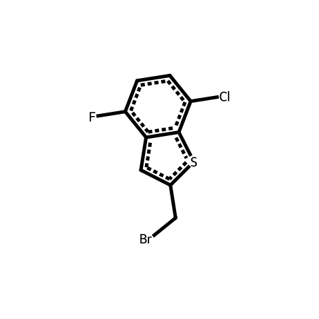 Fc1ccc(Cl)c2sc(CBr)cc12